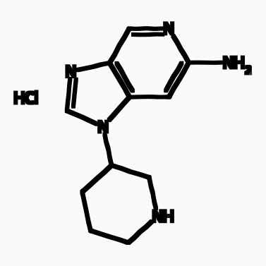 Cl.Nc1cc2c(cn1)ncn2C1CCCNC1